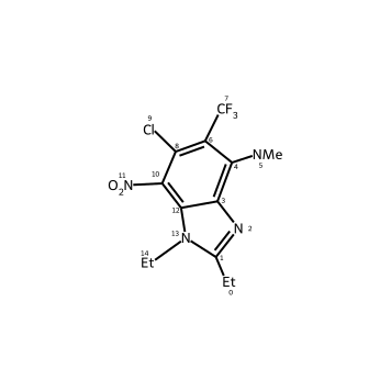 CCc1nc2c(NC)c(C(F)(F)F)c(Cl)c([N+](=O)[O-])c2n1CC